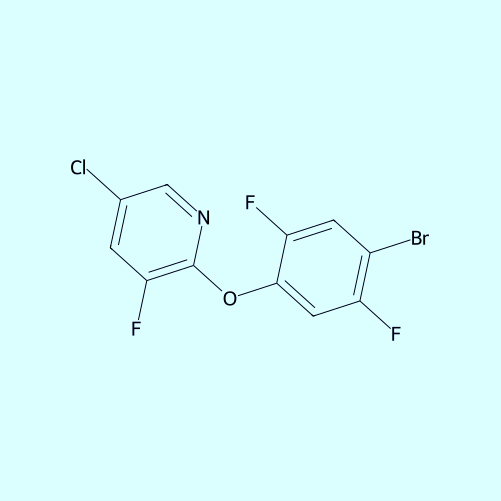 Fc1cc(Oc2ncc(Cl)cc2F)c(F)cc1Br